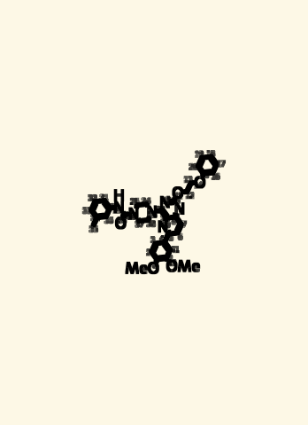 COc1ccc(-c2ccc3nc(OCCOc4ccccc4)nc(N4CCN(C(=O)Nc5cccc(C)c5)CC4)c3n2)cc1OC